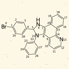 Brc1ccc(C2Nc3c(c4cccnc4c4ccccc34)N2c2ccccc2)cc1